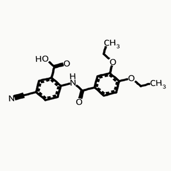 CCOc1ccc(C(=O)Nc2ccc(C#N)cc2C(=O)O)cc1OCC